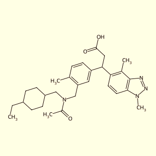 CCC1CCC(CN(Cc2cc(C(CC(=O)O)c3ccc4c(nnn4C)c3C)ccc2C)C(C)=O)CC1